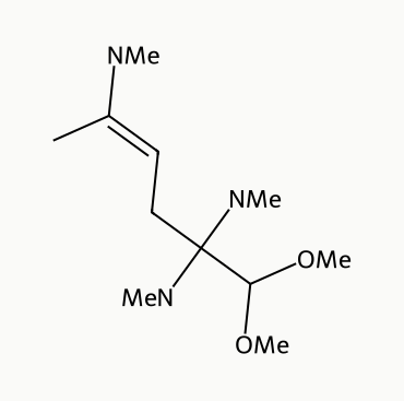 CNC(C)=CCC(NC)(NC)C(OC)OC